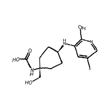 O=C(O)N[C@]1(CO)CC[C@@H](Nc2cc(F)cnc2O)CC1